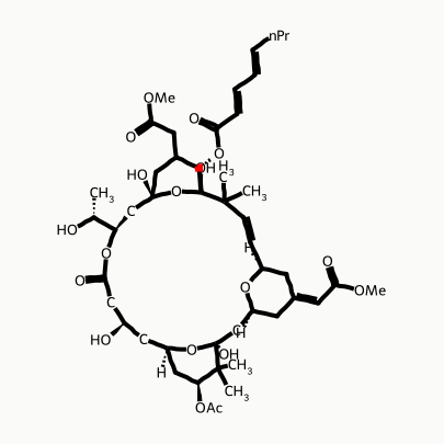 CCC/C=C/C=C/C(=O)O[C@H]1C(CC(=O)OC)C[C@@]2(O)C[C@H]([C@@H](C)O)OC(=O)C[C@H](O)C[C@@H]3C[C@H](OC(C)=O)C(C)(C)[C@](O)(C[C@@H]4C/C(=C/C(=O)OC)C[C@H](/C=C/C(C)(C)C1(O)O2)O4)O3